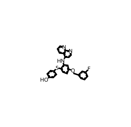 Oc1ccc(Sc2ccc(OCc3cccc(F)c3)cc2Nc2ccnc3ncccc23)cc1